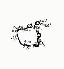 CO[C@@H]1CC(C[C@@H](C)C2CC(=O)[C@H](C)/C=C(\C)[C@@H](O)[C@@H](OC)C(=O)[C@H](C)C[C@H](C)/C=C/C=C/C=C(\C)[C@@H](C)C[C@@H]3CC[C@@H](C)[C@@](O)(O3)C(=O)C(=O)N3CCCC[C@H]3C(=O)O2)CC[C@H]1O